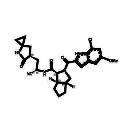 COc1cc(Cl)c2[nH]c(C(=O)N3C[C@@H]4CCC[C@@H]4[C@H]3C(=O)N[C@H](C#N)C[C@@H]3CC4(CC4)NC3=O)cc2c1